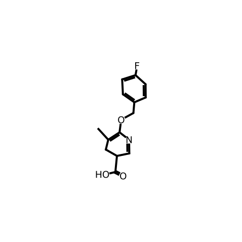 CC1=C(OCc2ccc(F)cc2)N=CC(C(=O)O)C1